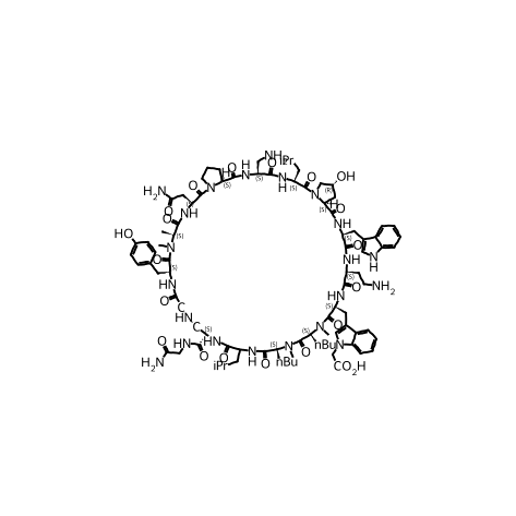 CCCC[C@H]1C(=O)N(C)[C@@H](CCCC)C(=O)NC(CC(C)C)C(=O)N[C@H](C(=O)NCC(N)=O)CNCC(=O)N[C@@H](Cc2ccc(O)cc2)C(=O)N(C)[C@@H](C)C(=O)N[C@@H](CC(N)=O)C(=O)N2CCC[C@H]2C(=O)N[C@@H](CN)C(=O)N[C@@H](CC(C)C)C(=O)N2C[C@H](O)C[C@H]2C(=O)N[C@@H](Cc2c[nH]c3ccccc23)C(=O)N[C@@H](CCN)C(=O)N[C@@H](Cc2cn(CC(=O)O)c3ccccc23)C(=O)N1C